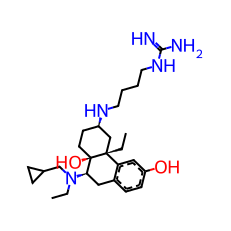 CCN(CC1CC1)[C@@H]1Cc2ccc(O)cc2[C@@]2(CC)C[C@H](NCCCCNC(=N)N)CC[C@@]12O